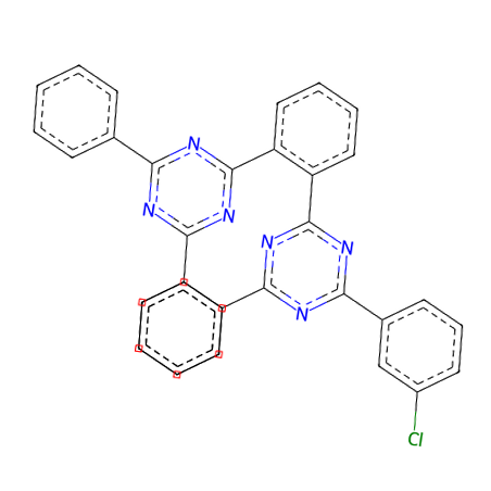 Clc1cccc(-c2nc(-c3ccccc3)nc(-c3ccccc3-c3nc(-c4ccccc4)nc(-c4ccccc4)n3)n2)c1